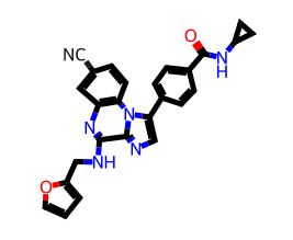 N#Cc1ccc2c(c1)nc(NCc1ccco1)c1ncc(-c3ccc(C(=O)NC4CC4)cc3)n12